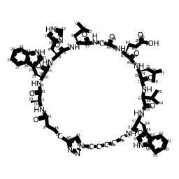 CC(C)C[C@@H]1NC(=O)[C@H](Cc2c[nH]cn2)NC(=O)[C@H](Cc2c[nH]c3ccccc23)NC(=O)[C@H](C)NC(=O)CCCc2cn(nn2)CCCCCNC(=O)[C@H](Cc2c[nH]c3ccccc23)NC(=O)C(C(C)C)NC(=O)[C@H](CC(C)C)NC(=O)[C@H](CCC(=O)O)NC(=O)CNC1=O